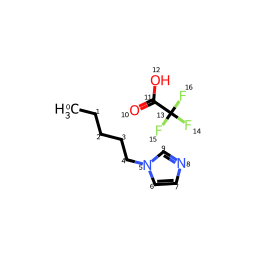 CCCCCn1ccnc1.O=C(O)C(F)(F)F